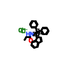 CCC(=O)[NH][Zr+2]([CH]1C=Cc2ccccc21)[SiH](c1ccccc1)c1ccccc1.[Cl-].[Cl-]